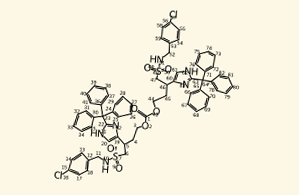 O=C(OCCC(CS(=O)(=O)NCc1ccc(Cl)cc1)c1c[nH]c(C(c2ccccc2)(c2ccccc2)c2ccccc2)n1)OCCC(CS(=O)(=O)NCc1ccc(Cl)cc1)c1c[nH]c(C(c2ccccc2)(c2ccccc2)c2ccccc2)n1